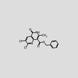 Cc1[nH]c(=O)c2cc(Cl)c(Cl)nc2c1C(=O)OCc1ccccc1